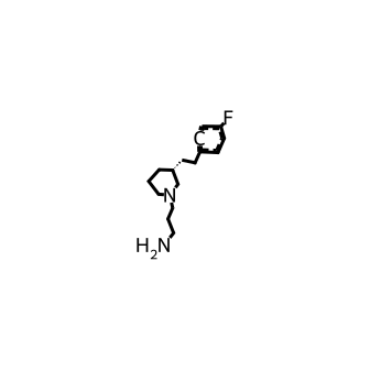 NCCCN1CCC[C@H](CCc2ccc(F)cc2)C1